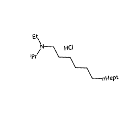 CCCCCCCCCCCCCN(CC)C(C)C.Cl